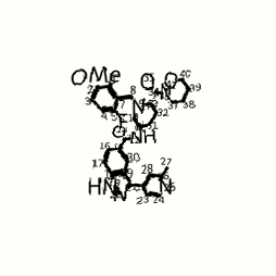 COc1cccc(F)c1CN1C[C@H](NC(=O)c2ccc3[nH]nc(-c4ccnc(C)c4)c3c2)CC[C@H]1C(=O)N1CCCCO1